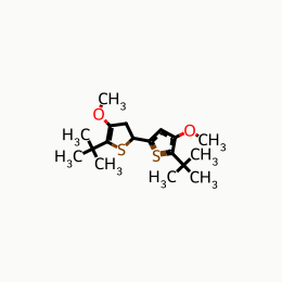 COC1=C(C(C)(C)C)SC(c2cc(OC)c(C(C)(C)C)s2)C1